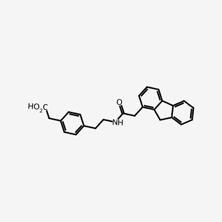 O=C(O)Cc1ccc(CCNC(=O)Cc2cccc3c2Cc2ccccc2-3)cc1